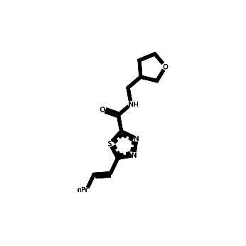 CCCC=Cc1nnc(C(=O)NCC2CCOC2)s1